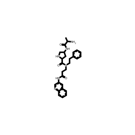 CC(N)C(=O)NC1CNC(C(=O)N(CCC(=O)Nc2cnc3ccccc3c2)CCc2ccccc2)C1